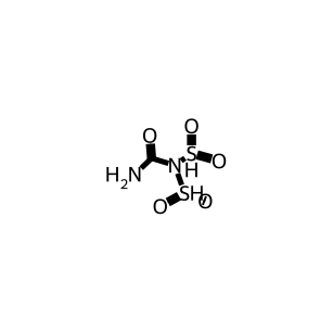 NC(=O)N([SH](=O)=O)[SH](=O)=O